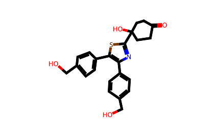 O=C1CCC(O)(c2nc(-c3ccc(CO)cc3)c(-c3ccc(CO)cc3)s2)CC1